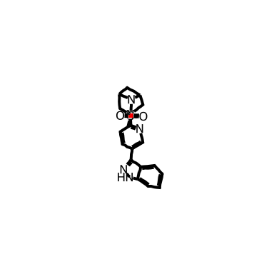 CS(=O)(=O)N1C2CC1CN(c1ccc(-c3n[nH]c4ccccc34)cn1)C2